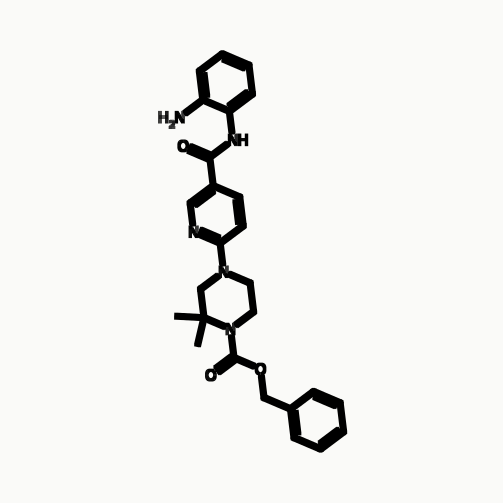 CC1(C)CN(c2ccc(C(=O)Nc3ccccc3N)cn2)CCN1C(=O)OCc1ccccc1